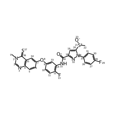 Cn1cnc2ccc(Oc3ccc(F)c(NC(=O)c4cc([S+](C)[O-])n(-c5ccc(F)cc5)n4)c3)cc2c1=S